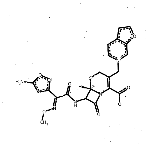 CON=C(C(=O)NC1C(=O)N2C(C(=O)[O-])=C(C[n+]3ccc4ccoc4c3)CS[C@@H]12)c1cc(N)on1